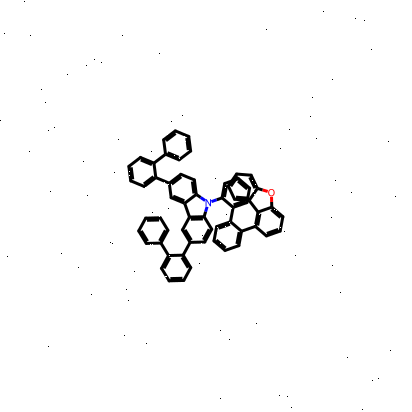 c1ccc(-c2ccccc2-c2ccc3c(c2)c2cc(-c4ccccc4-c4ccccc4)ccc2n3-c2ccccc2-c2ccccc2-c2cccc3oc4ccccc4c23)cc1